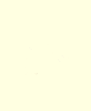 COC(=O)C(C)(C)c1cccc(NC(=O)C(c2ccc(CN3N=C(c4ccccc4)OCC3=O)cc2)C2CCCC2)c1